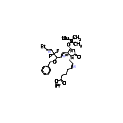 CC/C=C/C(F)(F)C(/C=C/[C@H]1[C@H](O[Si](C)(C)C(C)(C)C)CC(=O)[C@@H]1C/C=C\CCCC(=O)OC(C)C)OCc1ccccc1